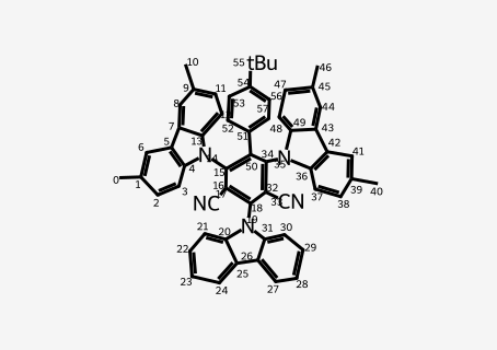 Cc1ccc2c(c1)c1cc(C)ccc1n2-c1c(C#N)c(-n2c3ccccc3c3ccccc32)c(C#N)c(-n2c3ccc(C)cc3c3cc(C)ccc32)c1-c1ccc(C(C)(C)C)cc1